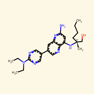 CCCC[C@](C)(CO)Nc1cc(N)nc2cc(-c3cnc(N(CC)CC)nc3)cnc12